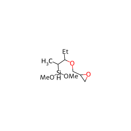 CCC(OCC1CO1)C(C)[SiH](OC)OC